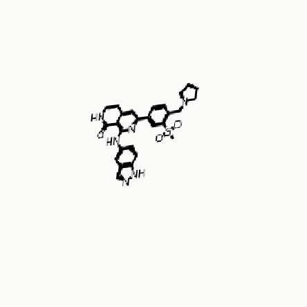 CS(=O)(=O)c1cc(-c2cc3cc[nH]c(=O)c3c(Nc3ccc4[nH]ncc4c3)n2)ccc1CN1CCCC1